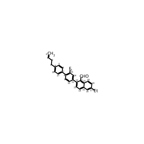 C=CCCc1ccc(-c2ccc(-c3ccc4cc(CC)ccc4c3C=O)cc2F)cc1